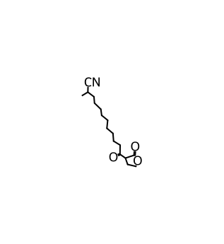 CC(C#N)CCCCCCCCCC(=O)C1CCOC1=O